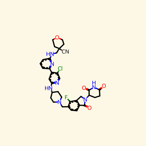 N#CC1(CNc2cccc(-c3cc(NC4CCN(Cc5ccc6c(c5F)CN(C5CCC(=O)NC5=O)C6=O)CC4)ncc3Cl)n2)CCOCC1